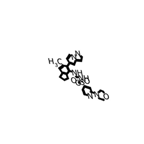 Cc1cc2c(c(NC(=O)NS(=O)(=O)c3ccnc(N4CCOCC4)c3)c1-c1ccn3nccc3c1)CCC2